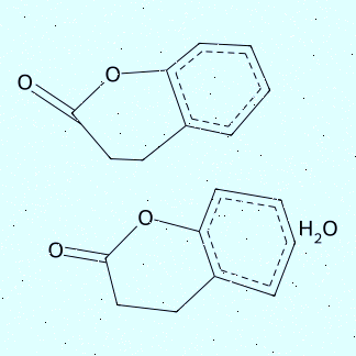 O.O=C1CCc2ccccc2O1.O=C1CCc2ccccc2O1